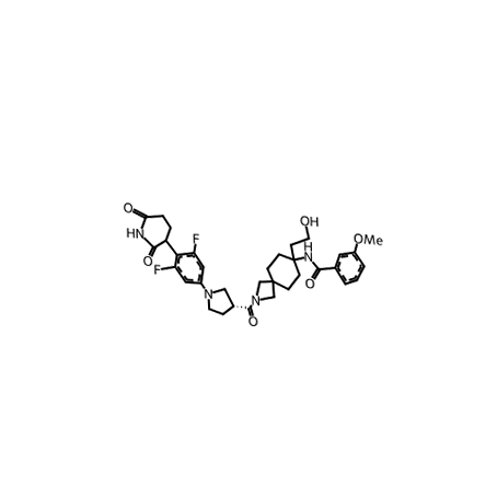 COc1cccc(C(=O)NC2(CCO)CCC3(CC2)CN(C(=O)[C@@H]2CCN(c4cc(F)c(C5CCC(=O)NC5=O)c(F)c4)C2)C3)c1